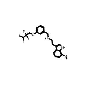 COc1cccc2c(CCNCc3cccc(OCC(F)(F)C(F)F)c3)c[nH]c12